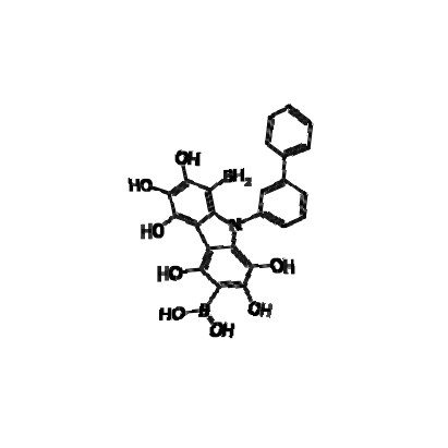 Bc1c(O)c(O)c(O)c2c3c(O)c(B(O)O)c(O)c(O)c3n(-c3cccc(-c4ccccc4)c3)c12